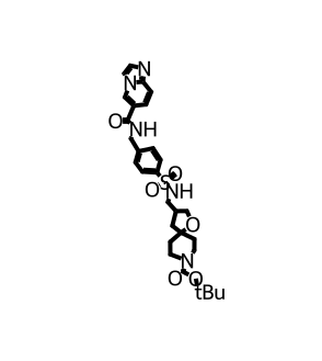 CC(C)(C)OC(=O)N1CCC2(CC1)CC(CNS(=O)(=O)c1ccc(CNC(=O)c3ccc4nccn4c3)cc1)CO2